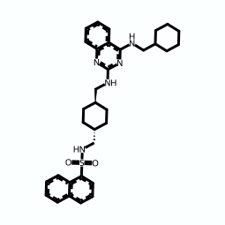 O=S(=O)(NC[C@H]1CC[C@H](CNc2nc(NCC3CCCCC3)c3ccccc3n2)CC1)c1cccc2ccccc12